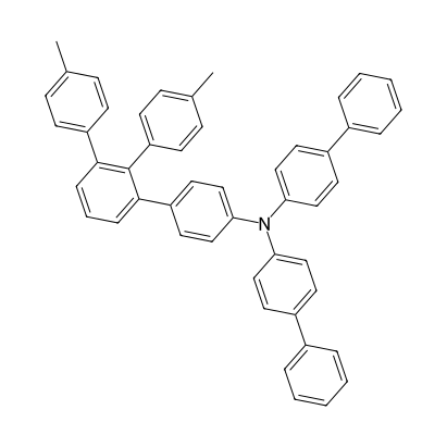 Cc1ccc(-c2cccc(-c3ccc(N(c4ccc(-c5ccccc5)cc4)c4ccc(-c5ccccc5)cc4)cc3)c2-c2ccc(C)cc2)cc1